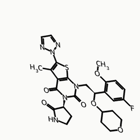 COc1ccc(F)cc1[C@H](Cn1c(=O)n([C@H]2CCNC2=O)c(=O)c2c(C)c(-n3nccn3)sc21)OC1CCOCC1